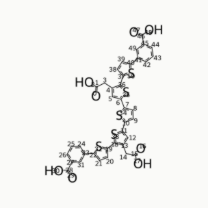 O=C(O)Cc1cc(-c2ccc(-c3cc(CC(=O)O)c(-c4ccc(-c5cccc(C(=O)O)c5)s4)s3)s2)sc1-c1ccc(-c2cccc(C(=O)O)c2)s1